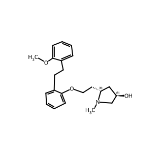 COc1ccccc1CCc1ccccc1OCC[C@@H]1C[C@@H](O)CN1C